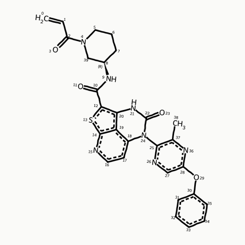 C=CC(=O)N1CCC[C@@H](NC(=O)c2sc3nccc4c3c2NC(=O)N4c2ncc(Oc3ccccc3)nc2C)C1